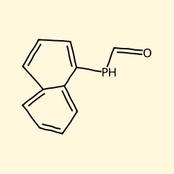 O=CPc1cccc2ccccc12